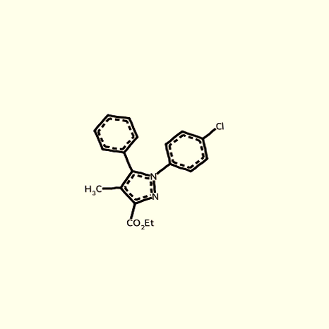 CCOC(=O)c1nn(-c2ccc(Cl)cc2)c(-c2ccccc2)c1C